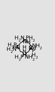 Nc1c2[nH]c(c1P)Cc1[nH]c(c(P)c1N)Cc1[nH]c(c(P)c1N)Cc1[nH]c(c(P)c1N)C2